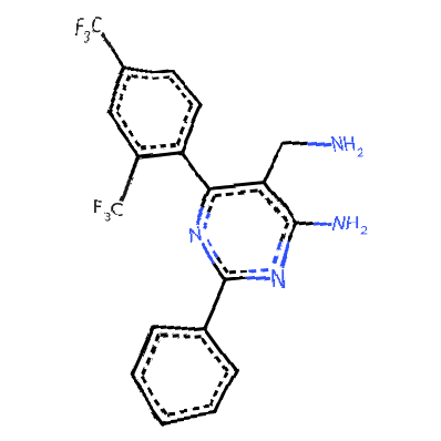 NCc1c(N)nc(-c2ccccc2)nc1-c1ccc(C(F)(F)F)cc1C(F)(F)F